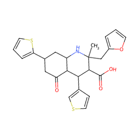 CC1(Cc2ccco2)NC2CC(c3cccs3)CC(=O)C2C(c2ccsc2)C1C(=O)O